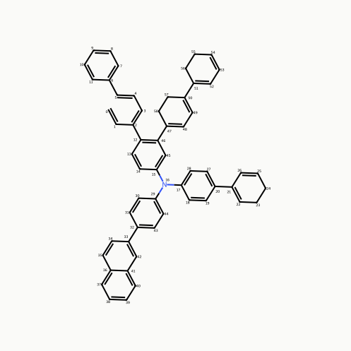 C=C/C(=C\C=C\c1ccccc1)c1ccc(N(c2ccc(C3=CCCC=C3)cc2)c2ccc(-c3ccc4ccccc4c3)cc2)cc1C1=CC=C(C2=CC=CCC2)CC1